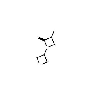 NC1CN(C2COC2)C1=O